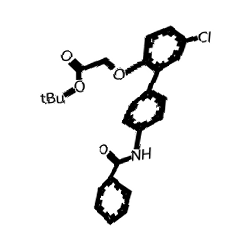 CC(C)(C)OC(=O)COc1ccc(Cl)cc1-c1ccc(NC(=O)c2ccccc2)cc1